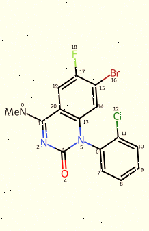 CNc1nc(=O)n(-c2ccccc2Cl)c2cc(Br)c(F)cc12